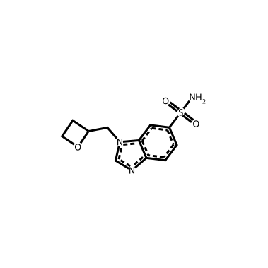 NS(=O)(=O)c1ccc2ncn(CC3CCO3)c2c1